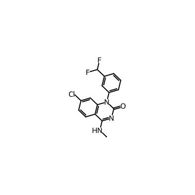 CNc1nc(=O)n(-c2cccc(C(F)F)c2)c2cc(Cl)ccc12